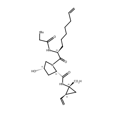 C=CCCCCC[C@H](NC(=O)CC(C)(C)C)C(=O)N1C[C@@H](O)C[C@H]1C(=O)N[C@]1(C(=O)O)C[C@H]1C=C